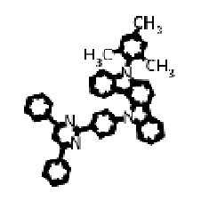 Cc1cc(C)c(-n2c3ccccc3c3c2ccc2c4ccccc4n(-c4ccc(-c5nc(-c6ccccc6)cc(-c6ccccc6)n5)cc4)c23)c(C)c1